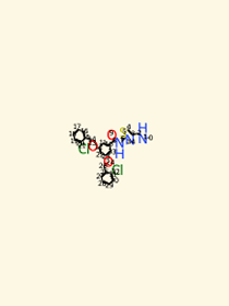 CNCc1csc(NC(=O)c2cc(OCc3ccccc3Cl)cc(OCc3ccccc3Cl)c2)n1